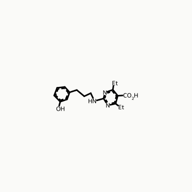 CCc1nc(NCCCc2cccc(O)c2)nc(CC)c1C(=O)O